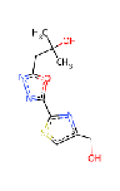 CC(C)(O)Cc1nnc(-c2nc(CO)cs2)o1